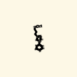 CCCCCCCCCCC[n+]1cn(-c2ccccc2)cn1